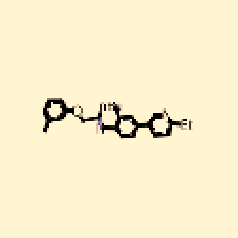 CCCC/C(COc1cccc(C)c1)=N\c1ccc(-c2ccc(CC)nc2)cc1C